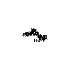 O=C(NC1CN(c2ccc3c(c2)Cn2cc(-c4ccc(F)cc4)cc2-c2nccn2-3)CC1CO)C(F)(F)F